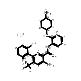 Cl.Nc1cc(C(F)(F)F)c(-c2c(F)cccc2F)nc1C(=O)Nc1cncnc1OC1CCC(N)CC1